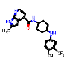 Cc1cc2c(C(=O)NC3CCC(Nc4ccc(C#N)c(C(F)(F)F)c4)CC3)ccnc2[nH]1